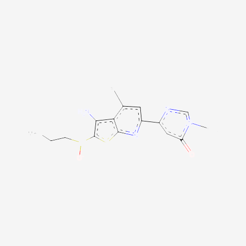 COCC[S+]([O-])c1sc2nc(-c3cc(=O)n(C)cn3)cc(C(C)C)c2c1N